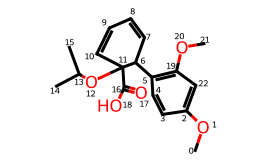 COc1ccc(C2C=CC=CC2(OC(C)C)C(=O)O)c(OC)c1